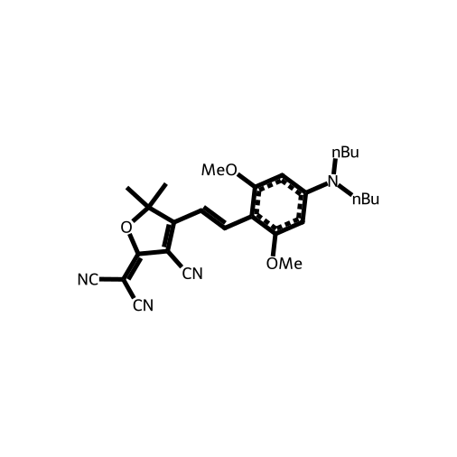 CCCCN(CCCC)c1cc(OC)c(/C=C/C2=C(C#N)C(=C(C#N)C#N)OC2(C)C)c(OC)c1